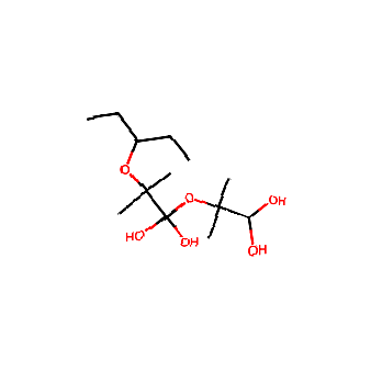 CCC(CC)OC(C)(C)C(O)(O)OC(C)(C)C(O)O